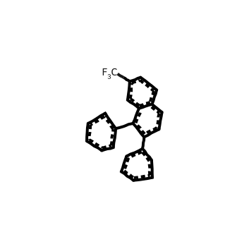 FC(F)(F)c1ccc2ccc(-c3ccccc3)c(-c3ccccc3)c2c1